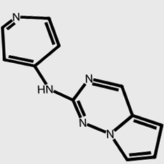 c1cc2cnc(Nc3ccncc3)nn2c1